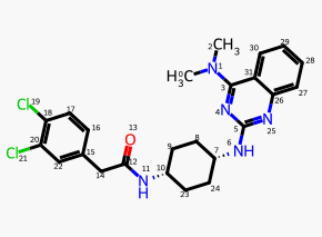 CN(C)c1nc(N[C@H]2CC[C@@H](NC(=O)Cc3ccc(Cl)c(Cl)c3)CC2)nc2ccccc12